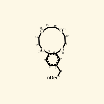 CCCCCCCCCCCc1ccc2c(c1)OCCOCCOCCO2